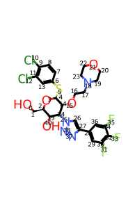 OC[C@H]1O[C@H](Sc2ccc(Cl)c(Cl)c2)[C@H](OCCN2CCOCC2)[C@@H](n2cc(-c3cc(F)c(F)c(F)c3)nn2)[C@H]1O